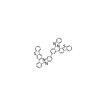 c1ccc2c(c1)nc1c3ccc(-c4ccc5nc6c7ccccc7c7cc8sc9ccccc9c8cc7n6c5c4)cc3c3ccc4c5ccccc5sc4c3n21